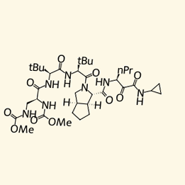 CCC[C@H](NC(=O)[C@@H]1[C@H]2CCC[C@H]2CN1C(=O)[C@@H](NC(=O)[C@@H](NC(=O)[C@H](CNC(=O)OC)NC(=O)OC)C(C)(C)C)C(C)(C)C)C(=O)C(=O)NC1CC1